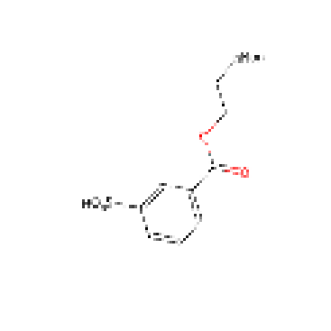 CCCCCCCCCCCOC(=O)c1cccc(S(=O)(=O)O)c1